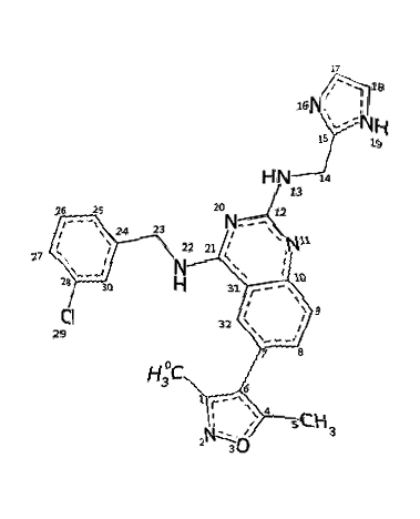 Cc1noc(C)c1-c1ccc2nc(NCc3ncc[nH]3)nc(NCc3cccc(Cl)c3)c2c1